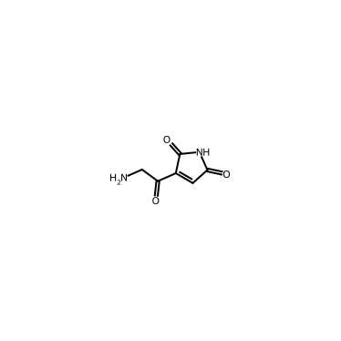 NCC(=O)C1=CC(=O)NC1=O